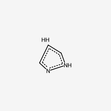 [HH].c1cn[nH]c1